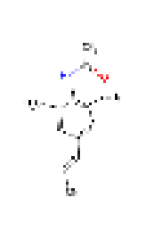 Cc1cc(/C=C/C#N)cc(C)c1NC(=O)C(F)(F)F